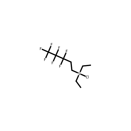 CC[Si](Cl)(CC)CCC(F)(F)C(F)(F)C(F)(F)F